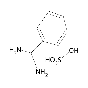 NC(N)c1ccccc1.O=S(=O)(O)O